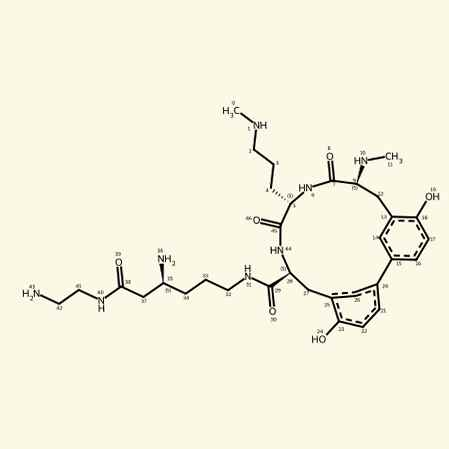 CNCCC[C@@H]1NC(=O)[C@@H](NC)Cc2cc(ccc2O)-c2ccc(O)c(c2)C[C@@H](C(=O)NCCC[C@H](N)CC(=O)NCCN)NC1=O